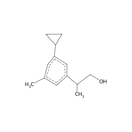 C[C](CO)c1cc(C)cc(C2CC2)c1